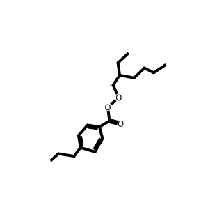 CCCCC([CH]OOC(=O)c1ccc(CCC)cc1)CC